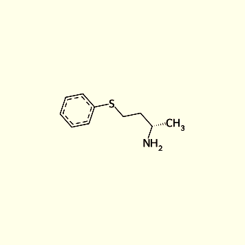 C[C@H](N)CCSc1ccccc1